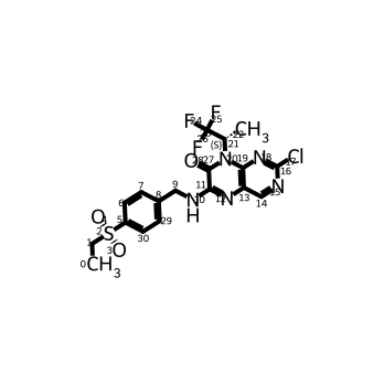 CCS(=O)(=O)c1ccc(CNc2nc3cnc(Cl)nc3n([C@@H](C)C(F)(F)F)c2=O)cc1